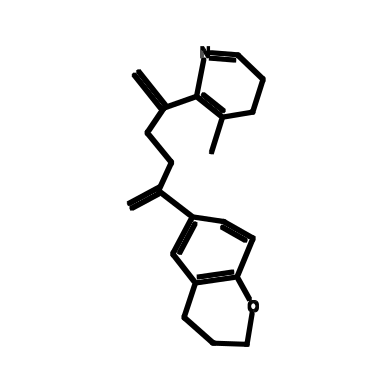 C=C(CCC(=C)c1ccc2c(c1)CCCO2)C1=C(C)CCC=N1